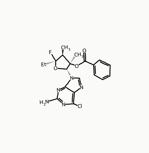 CC[C@@]1(F)O[C@@H](n2cnc3c(Cl)nc(N)nc32)[C@](C)(OC(=O)c2ccccc2)[C@@H]1C